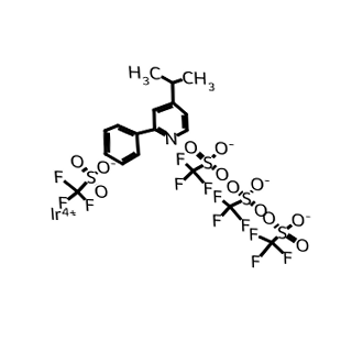 CC(C)c1ccnc(-c2ccccc2)c1.O=S(=O)([O-])C(F)(F)F.O=S(=O)([O-])C(F)(F)F.O=S(=O)([O-])C(F)(F)F.O=S(=O)([O-])C(F)(F)F.[Ir+4]